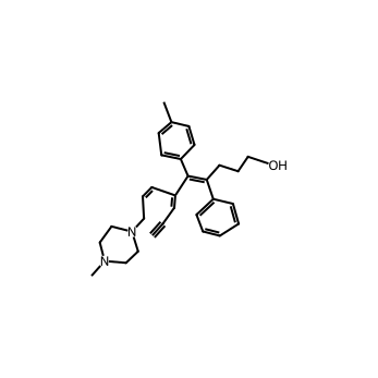 C#C/C=C(\C=C/CN1CCN(C)CC1)C(=C(/CCCO)c1ccccc1)/c1ccc(C)cc1